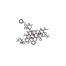 CC[C@H](C)[C@@H](C(=O)N[C@@H](COC(C)(C)C)C(=O)N(C)[C@@H](Cc1ccccc1)C(=O)N(C)[C@H](C(=O)N[C@@H](CC(=O)OC(C)(C)C)C(=O)O)C(C)C)N(C)C(=O)CN(C)C(=O)[C@@H](NC(=O)[C@H](CC(C)C)N(C)C(=O)[C@H](CC(C)C)NC(=O)OCc1ccccc1)C(C)C